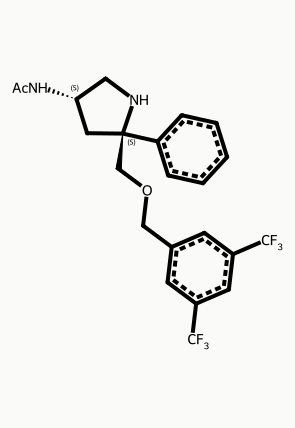 CC(=O)N[C@@H]1CN[C@](COCc2cc(C(F)(F)F)cc(C(F)(F)F)c2)(c2ccccc2)C1